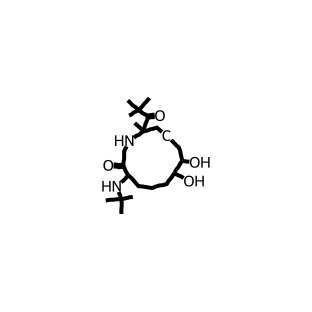 CC(C)(C)NC1CCCC(O)C(O)CCCC(C)(C(=O)C(C)(C)C)NCC1=O